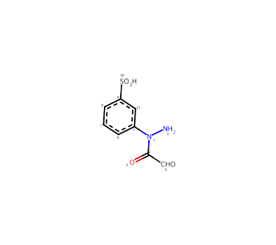 NN(C(=O)C=O)c1cccc(S(=O)(=O)O)c1